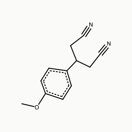 COc1ccc(C(CC#N)CC#N)cc1